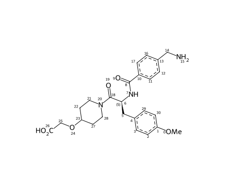 COc1ccc(C[C@H](NC(=O)c2ccc(CN)cc2)C(=O)N2CCC(OCC(=O)O)CC2)cc1